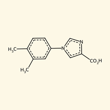 Cc1ccc(-n2cnc(C(=O)O)c2)cc1C